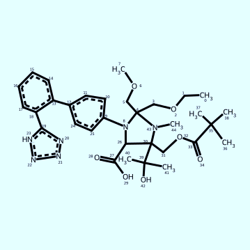 CCOCC1(COC)N(c2ccc(-c3ccccc3-c3nnn[nH]3)cc2)C(C(=O)O)C(COC(=O)C(C)(C)C)(C(C)(C)O)N1C